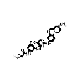 C=CC(=O)Nc1cccc(Nc2nc(Nc3ccc4c(c3)OCC3CN(C)CCN43)ncc2C(F)(F)F)c1